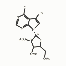 CC(=O)OCC1O[C@@H](n2cc(C#N)c3c(Cl)ncnc32)[C@H](OC(C)=O)C1OC(C)=O